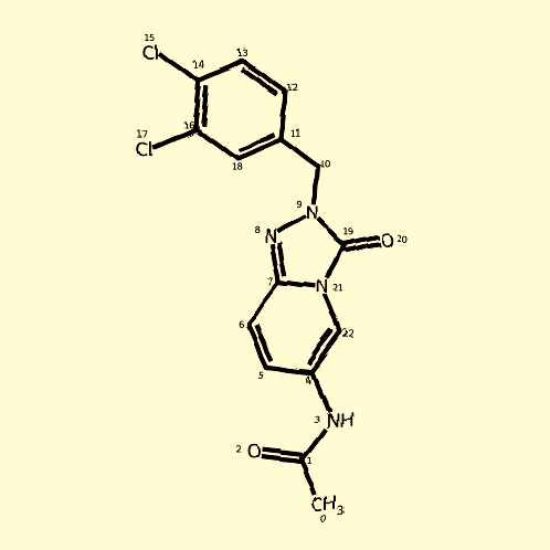 CC(=O)Nc1ccc2nn(Cc3ccc(Cl)c(Cl)c3)c(=O)n2c1